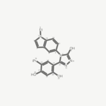 [CH2]Cn1ccc2cc(-n3c(O)nnc3-c3cc(C(C)C)c(O)cc3O)ccc21